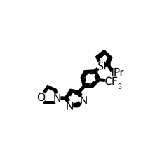 CC(C)C1=CC=C[SH]1c1ccc(-c2cc(N3CCOCC3)ncn2)cc1C(F)(F)F